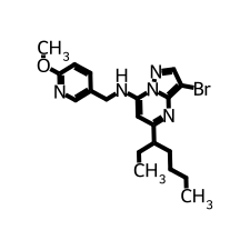 CCCCC(CC)c1cc(NCc2ccc(OC)nc2)n2ncc(Br)c2n1